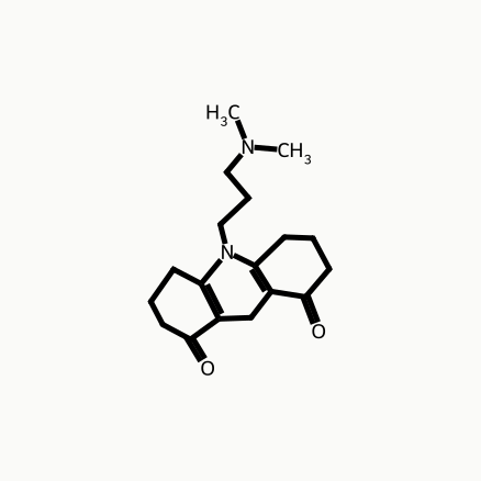 CN(C)CCCN1C2=C(CC3=C1CCCC3=O)C(=O)CCC2